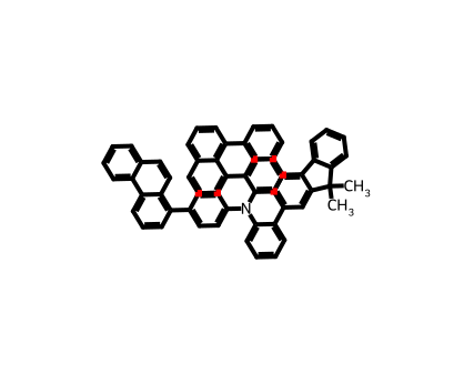 CC1(C)c2ccccc2-c2ccc(-c3ccccc3N(c3ccc(-c4cccc5c4ccc4ccccc45)cc3)c3ccccc3-c3cccc4cccc(-c5ccccc5)c34)cc21